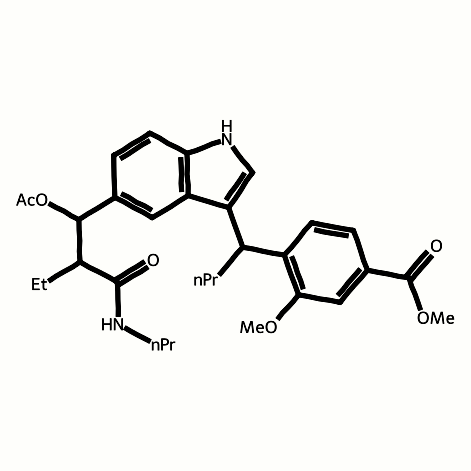 CCCNC(=O)C(CC)C(OC(C)=O)c1ccc2[nH]cc(C(CCC)c3ccc(C(=O)OC)cc3OC)c2c1